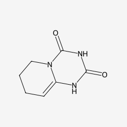 O=C1NC(=O)N2CCCC=C2N1